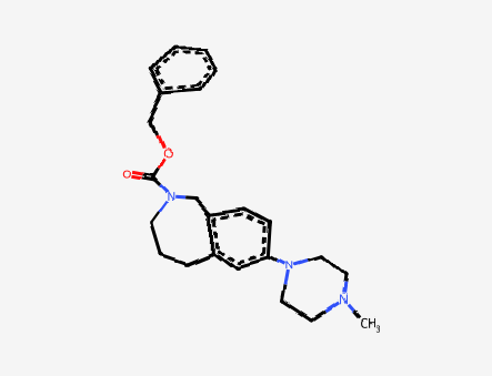 CN1CCN(c2ccc3c(c2)CCCN(C(=O)OCc2ccccc2)C3)CC1